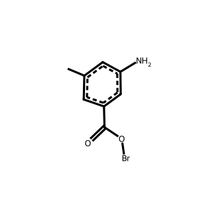 Cc1cc(N)cc(C(=O)OBr)c1